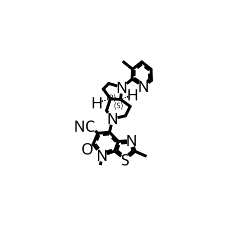 Cc1nc2c(N3CC[C@H]4[C@H](CCN4c4ncccc4C)C3)c(C#N)c(=O)n(C)c2s1